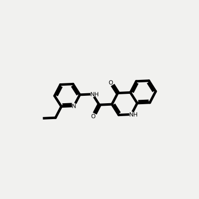 CCc1cccc(NC(=O)c2c[nH]c3ccccc3c2=O)n1